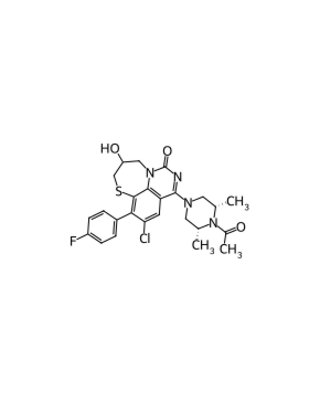 CC(=O)N1[C@H](C)CN(c2nc(=O)n3c4c(c(-c5ccc(F)cc5)c(Cl)cc24)SCC(O)C3)C[C@@H]1C